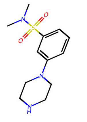 CN(C)S(=O)(=O)c1cccc(N2CCNCC2)c1